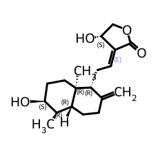 C=C1CC[C@@H]2[C@@H](C)[C@@H](O)CC[C@@]2(C)[C@@H]1C/C=C1/C(=O)OC[C@H]1O